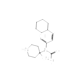 C/C=C(\C=C/C1CCCCC1)N(C(=O)CC)C1(C#N)CCNCC1